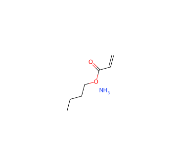 C=CC(=O)OCCCC.N